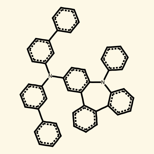 c1ccc(-c2cccc(N(c3cccc(-c4ccccc4)c3)c3ccc4c(c3)-c3ccccc3-c3ccccc3N4c3ccccc3)c2)cc1